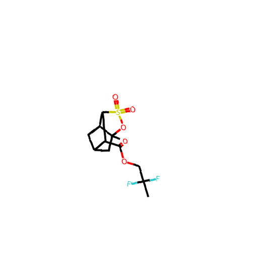 CC(F)(F)COC(=O)C1C2CC3C1S(=O)(=O)OC3(C)C2